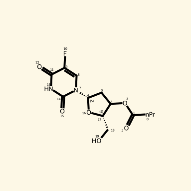 CCCC(=O)OC1C[C@@H](n2cc(F)c(=O)[nH]c2=O)O[C@H]1CO